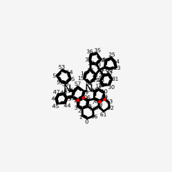 C1=Cc2cccc(-c3ccccc3N(c3ccc4c(c3)C(c3ccccc3)(c3ccccc3)c3ccccc3-4)c3ccc4c5ccccc5n(-c5ccccc5)c4c3)c2C(C2CCCCC2)C1